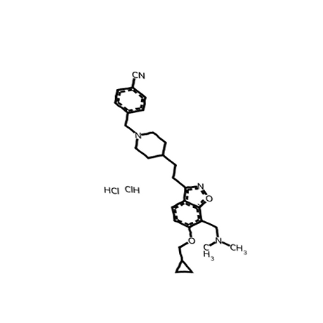 CN(C)Cc1c(OCC2CC2)ccc2c(CCC3CCN(Cc4ccc(C#N)cc4)CC3)noc12.Cl.Cl